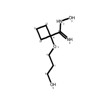 N=C(NO)C1(OCCCO)CCC1